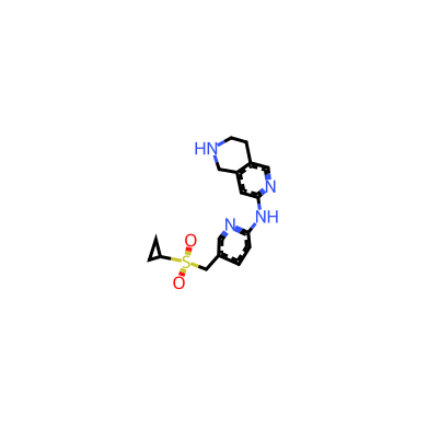 O=S(=O)(Cc1ccc(Nc2cc3c(cn2)CCNC3)nc1)C1CC1